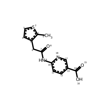 Cc1sccc1CC(=O)Nc1ccc(C(=O)O)cn1